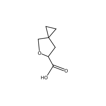 O=C(O)C1CC2(CC2)CO1